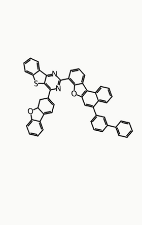 C1=C(c2nc(-c3cccc4c3oc3cc(-c5cccc(-c6ccccc6)c5)c5ccccc5c34)nc3c2sc2ccccc23)CC2Oc3ccccc3C2=C1